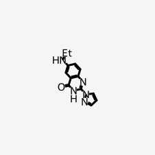 CCNc1ccc2nc(-n3cccn3)[nH]c(=O)c2c1